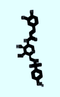 Cc1ccc(S(=O)(=O)NC[C@H]2OC[C@H](NC(=O)/C=C/c3ccc(Cl)c(Cl)c3)[C@@H](O)[C@@H]2O)cc1